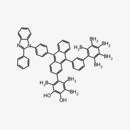 Bc1c(B)c(B)c(-c2cccc(-c3c4ccccc4c(-c4ccc(-n5c(-c6ccccc6)nc6ccccc65)cc4)c4ccc(-c5c(B)c(B)c(O)c(O)c5B)cc34)c2)c(B)c1B